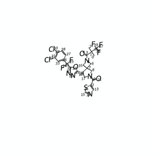 CC(C)(C(=O)N1CC2(CN(C(=O)c3cncs3)C[C@@H]2c2nnc(C(F)(F)c3ccc(Cl)c(Cl)c3)o2)C1)C(F)(F)F